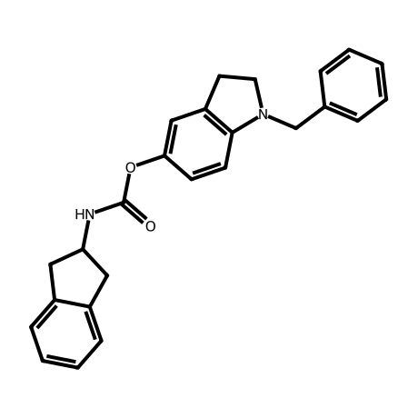 O=C(NC1Cc2ccccc2C1)Oc1ccc2c(c1)CCN2Cc1ccccc1